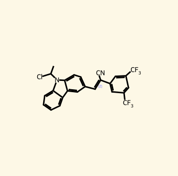 CC(Cl)n1c2ccccc2c2cc(/C=C(\C#N)c3cc(C(F)(F)F)cc(C(F)(F)F)c3)ccc21